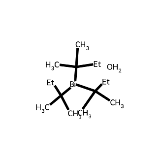 CC[C](C)(C)[Bi]([C](C)(C)CC)[C](C)(C)CC.O